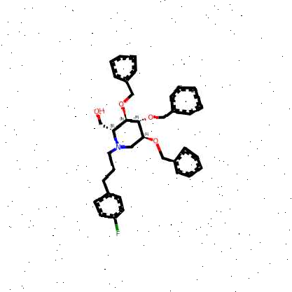 OC[C@@H]1[C@@H](OCc2ccccc2)[C@H](OCc2ccccc2)[C@@H](OCc2ccccc2)CN1CCCc1ccc(F)cc1